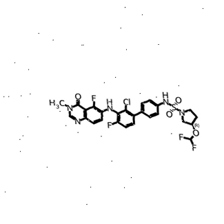 Cn1cnc2ccc(Nc3c(F)ccc(-c4ccc(NS(=O)(=O)N5CC[C@@H](OC(F)F)C5)cc4)c3Cl)c(F)c2c1=O